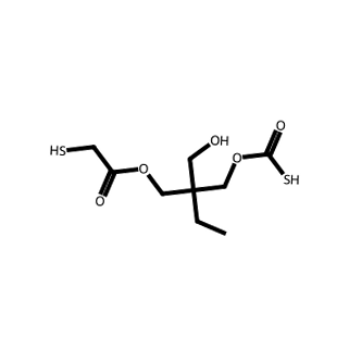 CCC(CO)(COC(=O)S)COC(=O)CS